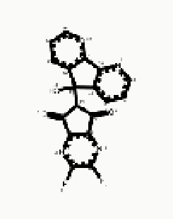 O=C1c2nc(F)c(F)nc2C(=O)C1C1(O)c2cccnc2-c2ncccc21